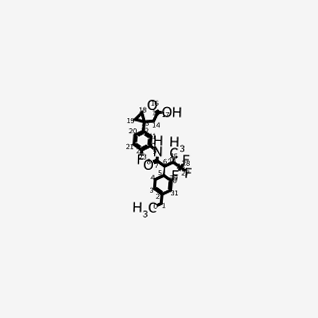 CCC1=CCC([C@@H](C(=O)Nc2cc(C3(CC(=O)O)CC3)ccc2F)[C@@H](C)C(F)(F)F)C=C1